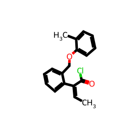 CC=C(C(=O)Cl)c1ccccc1COc1ccccc1C